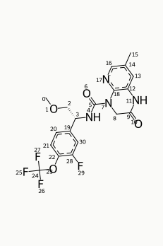 COC[C@H](NC(=O)N1CC(=O)Nc2cc(C)cnc21)c1ccc(OC(F)(F)F)c(F)c1